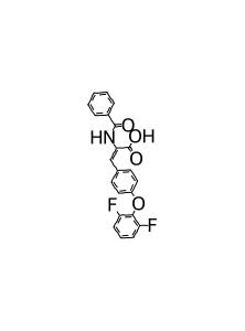 O=C(O)/C(=C\c1ccc(Oc2c(F)cccc2F)cc1)NC(=O)c1ccccc1